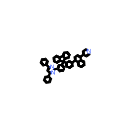 c1ccc(-c2cc(-c3ccccc3)nc(-c3cccc(C4(c5cccc(-c6ccc(-c7ccncc7)c7ccccc67)c5)c5ccccc5-c5ccccc54)c3)n2)cc1